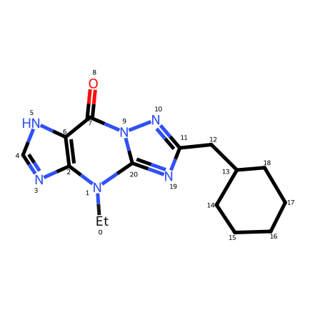 CCn1c2nc[nH]c2c(=O)n2nc(CC3CCCCC3)nc12